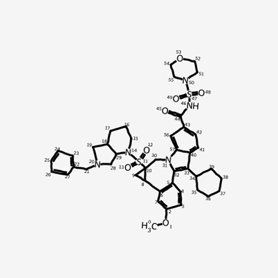 COc1ccc2c(c1)C1CC1(S(=O)(=O)N1CCCC3CN(Cc4ccccc4)CC31)Cn1c-2c(C2CCCCC2)c2ccc(C(=O)NS(=O)(=O)N3CCOCC3)cc21